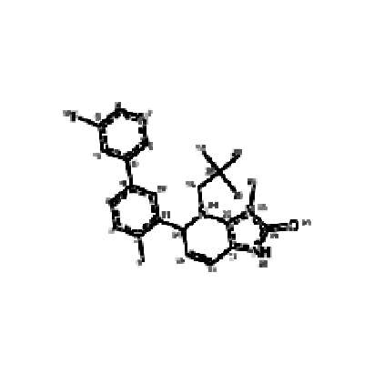 Cc1ccc(-c2cncc(F)c2)cc1C1C=Cc2[nH]c(=O)n(C)c2N1CC(C)(C)C